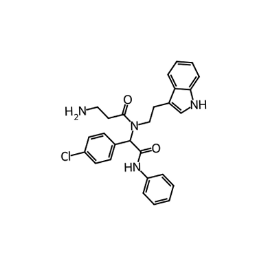 NCCC(=O)N(CCc1c[nH]c2ccccc12)C(C(=O)Nc1ccccc1)c1ccc(Cl)cc1